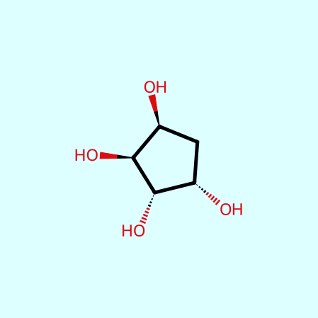 O[C@@H]1[C@@H](O)[C@@H](O)C[C@@H]1O